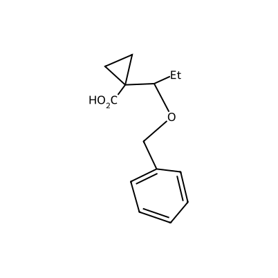 CCC(OCc1ccccc1)C1(C(=O)O)CC1